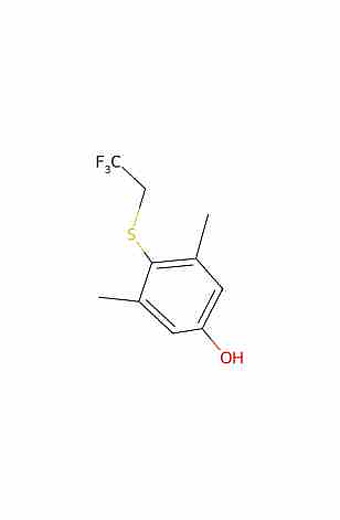 Cc1cc(O)cc(C)c1SCC(F)(F)F